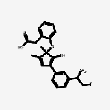 CC1=CC(c2cccc(C(N)CF)c2)=C(O)C1(C)Oc1ccccc1CC(=O)O